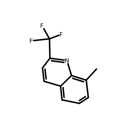 Cc1cccc2ccc(C(F)(F)F)nc12